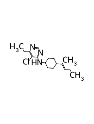 CC/C=C(\C)C1CCC(Nc2ncnc(CC)c2Cl)CC1